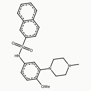 COc1ccc(NS(=O)(=O)c2ccc3ccccc3c2)cc1N1CCN(C)CC1